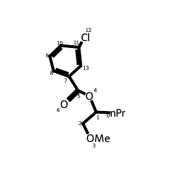 CCCC(COC)OC(=O)c1cccc(Cl)c1